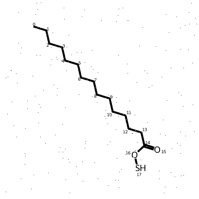 CCCCCCCCCCCCCCC(=O)OS